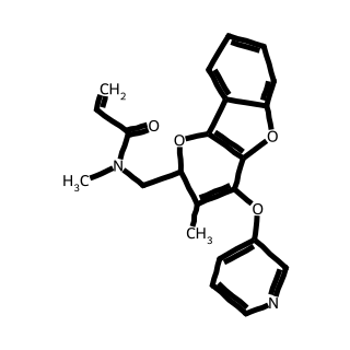 C=CC(=O)N(C)CC1Oc2c(oc3ccccc23)C(Oc2cccnc2)=C1C